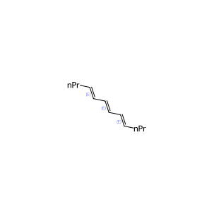 [CH2]CC/C=C/C=C/C=C/CCC